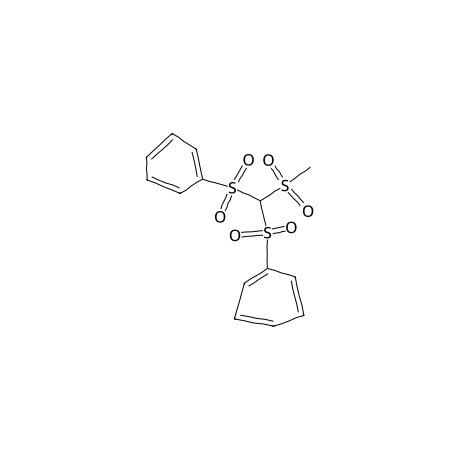 CS(=O)(=O)C(S(=O)(=O)c1ccccc1)S(=O)(=O)c1ccccc1